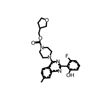 Cc1ccc2c(N3CCN(C(=O)OCC4CCOC4)CC3)nc(-c3c(O)cccc3F)nc2c1